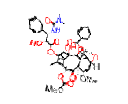 COC(=O)O[C@H]1C(=O)[C@]2(C)[C@@H](OC)C[C@H]3OC[C@]34B(C(C)=O)[C@@]42[C@H](OC(=O)c2ccccc2)[C@]2(O)C[C@H](OC(=O)[C@H](O)[C@@H](NC(=O)N(C)C)c3ccccc3)C(C)=C1C2(C)C